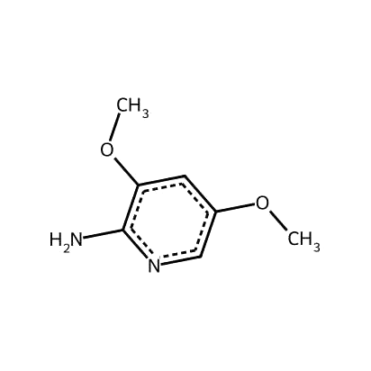 COc1cnc(N)c(OC)c1